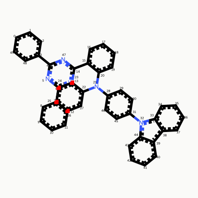 c1ccc(-c2nc(-c3ccccc3)nc(-c3ccccc3N(c3ccccc3)c3ccc(-n4c5ccccc5c5ccccc54)cc3)n2)cc1